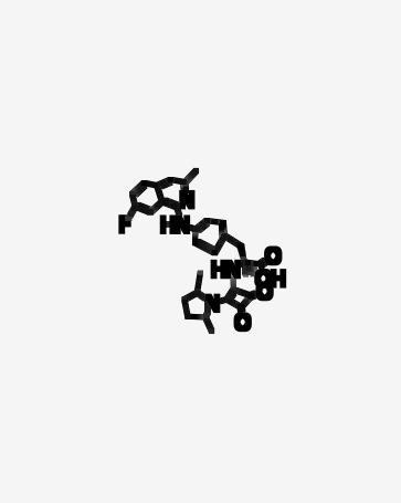 Cc1cc2ccc(F)cc2c(Nc2ccc(C[C@H](Nc3c(N4C(C)CCC4C)c(=O)c3=O)C(=O)O)cc2)n1